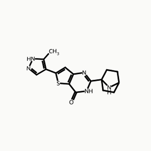 Cc1[nH]ncc1-c1cc2nc(C34CCC(CC3)N4)[nH]c(=O)c2s1